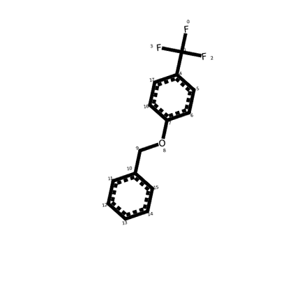 FC(F)(F)c1ccc(OCc2ccccc2)cc1